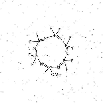 COP1(F)=NP(F)(F)=NP(F)(F)=NP(F)(F)=NP(F)(F)=NP(F)(F)=N1